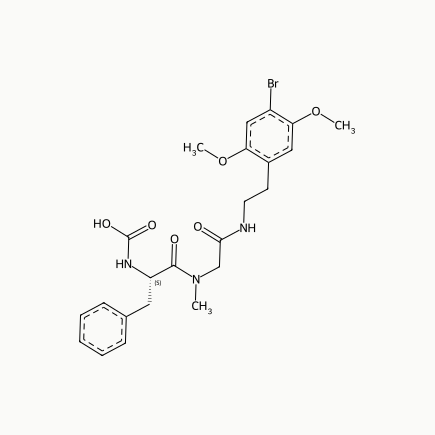 COc1cc(CCNC(=O)CN(C)C(=O)[C@H](Cc2ccccc2)NC(=O)O)c(OC)cc1Br